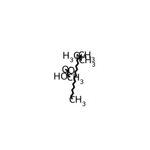 CC(O)C(=O)[O-].CCCCCCCCCCCCCC[N+](C)(C)C